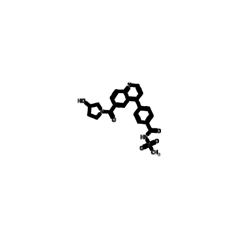 CS(=O)(=O)NC(=O)c1ccc(-c2ccnc3ccc(C(=O)N4CCC(O)C4)cc23)cc1